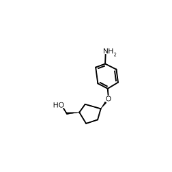 Nc1ccc(O[C@H]2CC[C@@H](CO)C2)cc1